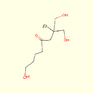 CCC(CO)(CO)CC(=O)CCCCO